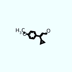 COc1ccc(C(=CC=O)C2CC2)cc1